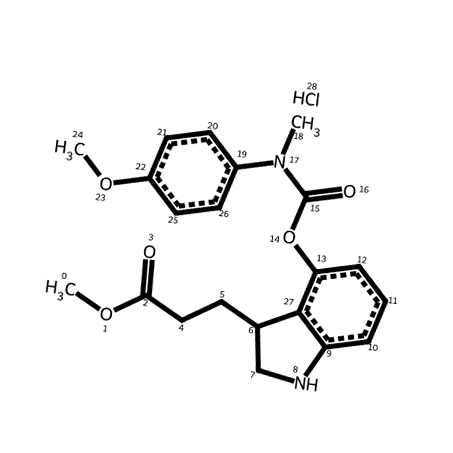 COC(=O)CCC1CNc2cccc(OC(=O)N(C)c3ccc(OC)cc3)c21.Cl